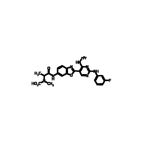 CCCNc1nc(Nc2cccc(F)c2)ncc1-c1nc2ccc(NC(=O)C(C)N(C)C(=O)O)cc2o1